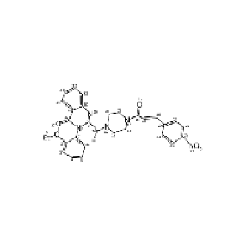 CCOc1ccccc1-n1c(C(C)N2CCN(C(=O)/C=C/c3ccc([N+](=O)[O-])cc3)CC2)nc2ccccc2c1=O